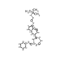 C[Si](C)(C)CCOCn1ccc2cc(N3CCOCC(OCc4ccccc4)C3)cnc21